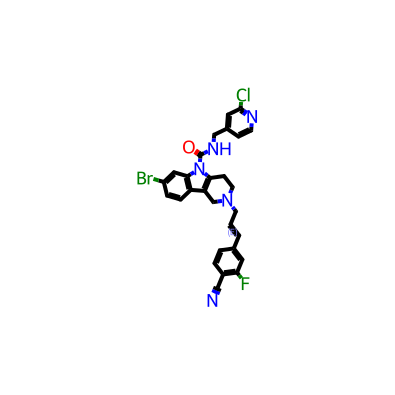 N#Cc1ccc(/C=C/CN2CCc3c(c4ccc(Br)cc4n3C(=O)NCc3ccnc(Cl)c3)C2)cc1F